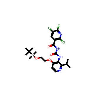 CC(C)c1nccc(OCCO[Si](C)(C)C(C)(C)C)c1NC(=O)NC(=O)c1cc(F)c(Cl)nc1Cl